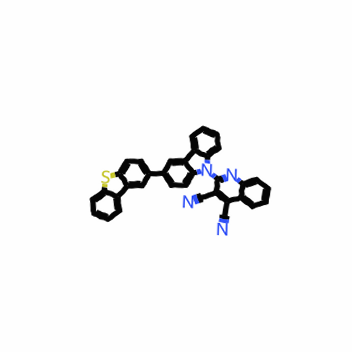 N#Cc1c(-n2c3ccccc3c3cc(-c4ccc5sc6ccccc6c5c4)ccc32)nc2ccccc2c1C#N